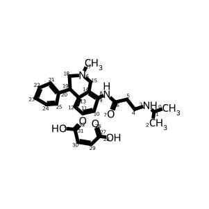 CC(C)NCCC(=O)Nc1cccc2c1CN(C)CC2c1ccccc1.O=C(O)/C=C\C(=O)O